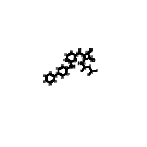 CC(C)CC(C)Nc1c(Nc2ccnc(Nc3ccc(-c4ccccc4)cc3)n2)c(=O)c1=O